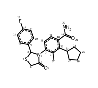 Cc1c(N2C(=O)CSC2c2ccc(F)cc2)ccc(C(N)=O)c1C1CCCC1